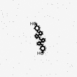 OCC1CCCC(Cc2ccccc2-c2ccccc2CCc2ccccc2-c2ccccc2CC2CCCC(CO)CCC2)CCC1